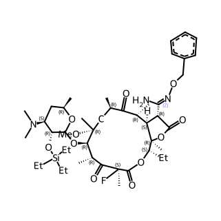 CC[C@@H]1OC(=O)[C@@](C)(F)C(=O)[C@H](C)[C@@H](OC2O[C@H](C)C[C@H](N(C)C)[C@H]2O[Si](CC)(CC)CC)[C@](C)(OC)C[C@@H](C)C(=O)[C@H](C)[C@H]2[C@H](/C(N)=N/OCc3ccccc3)C(=O)O[C@]21C